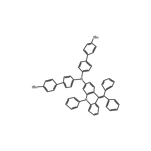 CC(C)(C)c1ccc(-c2ccc(N(c3ccc(-c4ccc(C(C)(C)C)cc4)cc3)c3ccc4c(c3)N(c3ccccc3)c3ccccc3C4=C(c3ccccc3)c3ccccc3)cc2)cc1